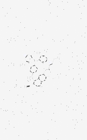 CCOc1cc2ncc(C#N)c(Nc3ccc(Oc4ccccc4)cc3)c2cc1NC(=O)/C=C/CN(C)C.O=C(O)/C=C\C(=O)O